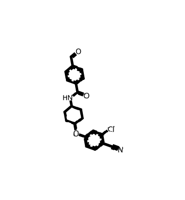 N#Cc1ccc(OC2CCC(NC(=O)c3ccc(C=O)cc3)CC2)cc1Cl